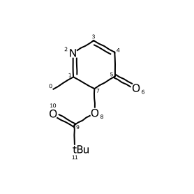 CC1=NC=CC(=O)C1OC(=O)C(C)(C)C